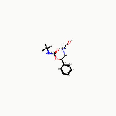 CC(C)(C)NC(=O)O[C@@H](CN=C=O)c1ccccc1